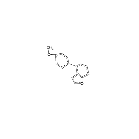 COc1ccc(-c2cccc3occc23)cc1